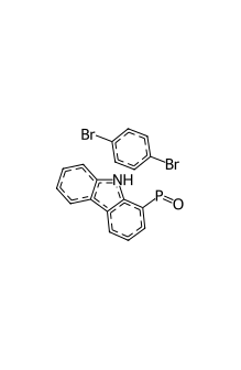 Brc1ccc(Br)cc1.O=Pc1cccc2c1[nH]c1ccccc12